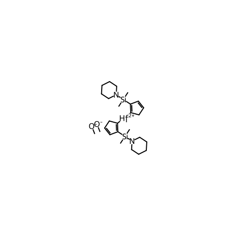 C[O-].C[O-].C[Si](C)(C1=[C]([Hf+2][C]2=C([Si](C)(C)N3CCCCC3)C=CC2)CC=C1)N1CCCCC1